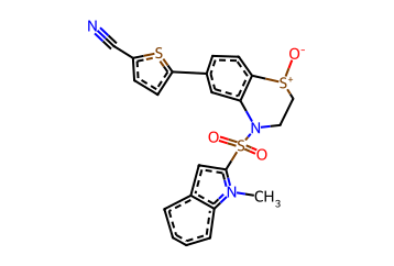 Cn1c(S(=O)(=O)N2CC[S+]([O-])c3ccc(-c4ccc(C#N)s4)cc32)cc2ccccc21